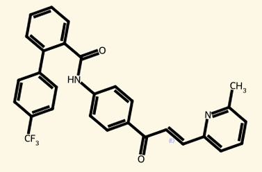 Cc1cccc(/C=C/C(=O)c2ccc(NC(=O)c3ccccc3-c3ccc(C(F)(F)F)cc3)cc2)n1